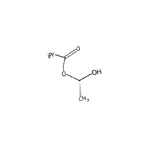 CC(C)C(=O)O[C@@H](C)O